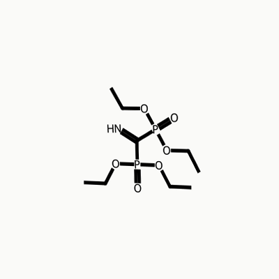 CCOP(=O)(OCC)C(=N)P(=O)(OCC)OCC